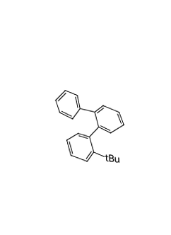 CC(C)(C)c1ccccc1-c1ccccc1-c1ccccc1